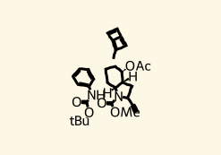 C#CC1C[C@H]2[C@@H](OC(C)=O)CCC[C@H]2N1C(=O)OC.CC(C)(C)OC(=O)Nc1ccccc1.Cc1cc2ccc1-2